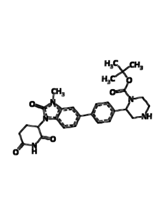 Cn1c(=O)n(C2CCC(=O)NC2=O)c2ccc(-c3ccc(C4CNCCN4C(=O)OC(C)(C)C)cc3)cc21